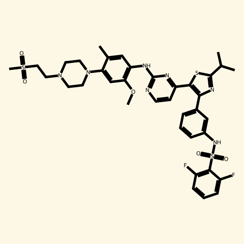 COc1cc(N2CCN(CCS(C)(=O)=O)CC2)c(C)cc1Nc1nccc(-c2sc(C(C)C)nc2-c2cccc(NS(=O)(=O)c3c(F)cccc3F)c2)n1